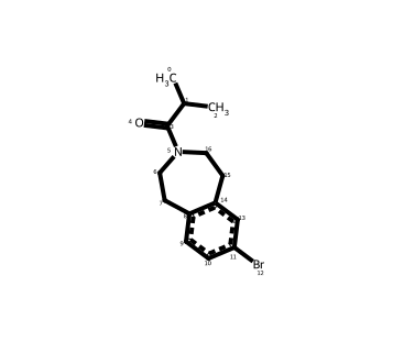 CC(C)C(=O)N1CCc2ccc(Br)cc2CC1